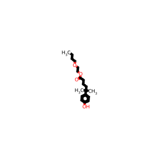 CCCCOCCOC(=O)CCCC(C)(C)c1ccc(O)cc1